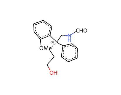 COc1ccccc1[C@@](CCCO)(CNC=O)c1ccccc1